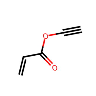 C#COC(=O)C=C